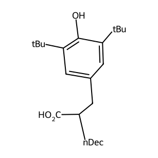 CCCCCCCCCCC(Cc1cc(C(C)(C)C)c(O)c(C(C)(C)C)c1)C(=O)O